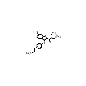 C=C/C(=C\SC)C(=O)c1sc2cc(O)ccc2c1Oc1ccc(/C=C/C(=O)O)cc1